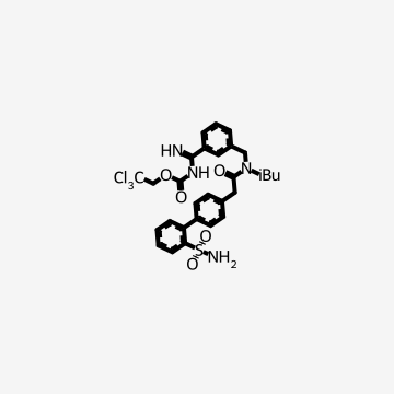 CCC(C)N(Cc1cccc(C(=N)NC(=O)OCC(Cl)(Cl)Cl)c1)C(=O)Cc1ccc(-c2ccccc2S(N)(=O)=O)cc1